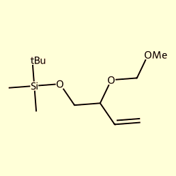 C=CC(CO[Si](C)(C)C(C)(C)C)OCOC